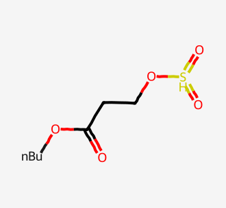 CCCCOC(=O)CCO[SH](=O)=O